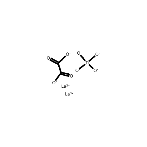 O=C([O-])C(=O)[O-].[La+3].[La+3].[O-][Ti]([O-])([O-])[O-]